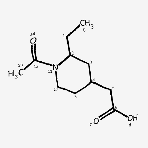 CCC1CC(CC(=O)O)CCN1C(C)=O